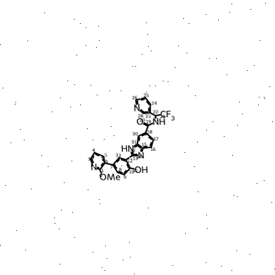 COc1ncccc1-c1ccc(O)c(-c2nc3ccc(C(=O)NC(c4cccnc4)C(F)(F)F)cc3[nH]2)c1